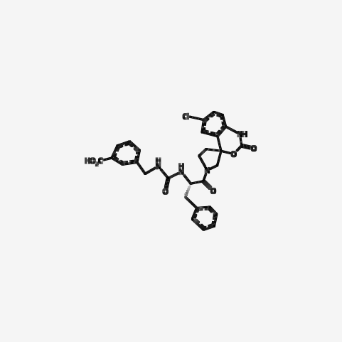 O=C(NCc1cccc(C(=O)O)c1)N[C@@H](Cc1ccccc1)C(=O)N1CCC2(C1)OC(=O)Nc1ccc(Cl)cc12